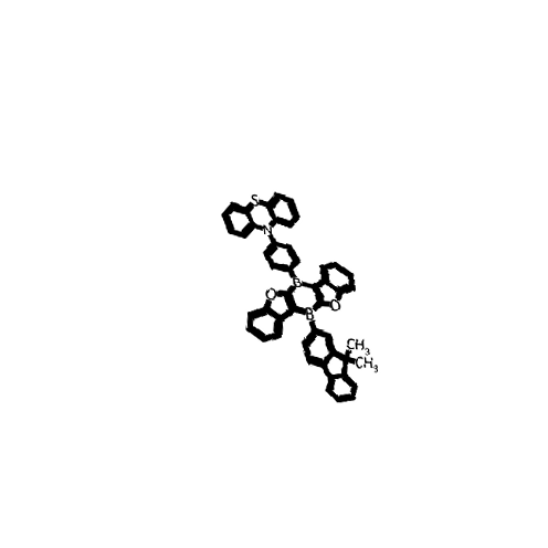 CC1(C)c2ccccc2-c2ccc(B3c4oc5ccccc5c4B(c4ccc(N5c6ccccc6Sc6ccccc65)cc4)c4oc5ccccc5c43)cc21